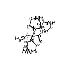 CC(N1CCNCC1)C(C[SiH3])(N1CCNCC1)N1CCNCC1